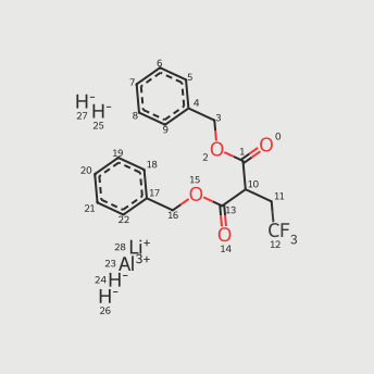 O=C(OCc1ccccc1)C(CC(F)(F)F)C(=O)OCc1ccccc1.[Al+3].[H-].[H-].[H-].[H-].[Li+]